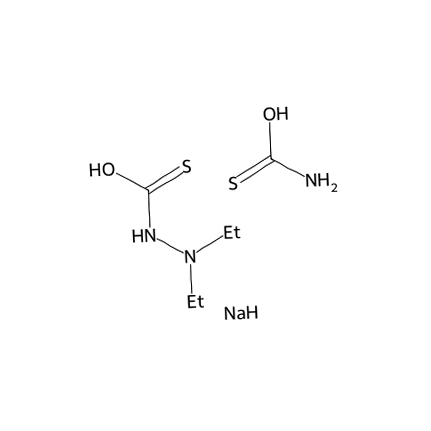 CCN(CC)NC(O)=S.NC(O)=S.[NaH]